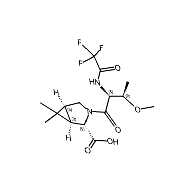 CO[C@H](C)[C@H](NC(=O)C(F)(F)F)C(=O)N1C[C@H]2[C@@H]([C@H]1C(=O)O)C2(C)C